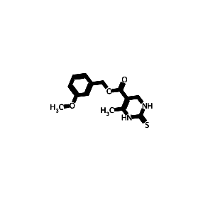 COc1cccc(COC(=O)C2=C(C)NC(=S)NC2)c1